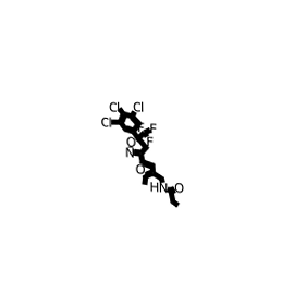 CCC(=O)NCc1cc(C2=NOC(c3cc(Cl)c(Cl)c(Cl)c3)(C(F)(F)F)C2)oc1C